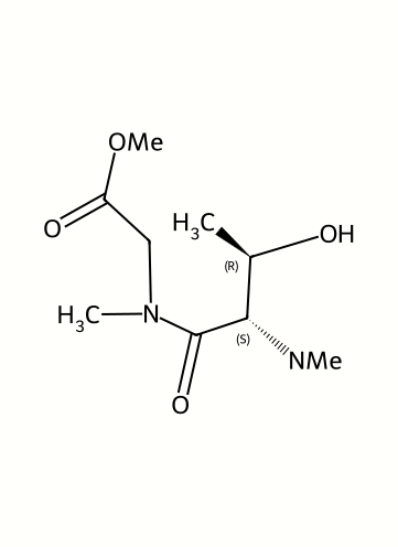 CN[C@H](C(=O)N(C)CC(=O)OC)[C@@H](C)O